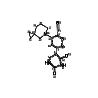 N#Cc1nnc(-c2c[nH]c(=O)[nH]c2=O)cc1N1CCCC2(CC2)C1